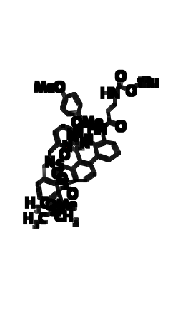 COc1ccc(CN(Cc2ccc(OC)cc2)S(=O)(=O)c2c(S(=O)(=O)CC[Si](C)(C)C)ccc(-c3cccc(NC(=O)CCNC(=O)OC(C)(C)C)c3N)c2-c2nnn(Cc3ccc(OC)cc3)n2)cc1